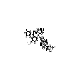 CCC(C)[C@@H]1N=C(c2ccccc2)c2cc(Cl)ccc2N(CCC(=O)NS(=O)(=O)c2cn(C)cn2)C1=O